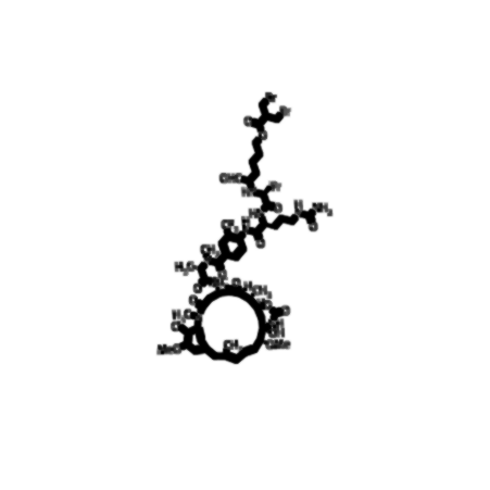 COc1cc2cc(c1Cl)N(C)C(=O)C[C@H](OC(=O)[C@H](C)N(C)C(=O)c1ccc(NC(=O)[C@H](CCCNC(N)=O)NC(=O)[C@@H](NC(C=O)CCCCOC(=O)C(CBr)CBr)C(C)C)c(C(F)(F)F)c1)[C@]1(C)O[C@H]1[C@H](C)[C@@H]1C[C@@](O)(NC(=O)O1)[C@H](OC)/C=C/C=C(\C)C2